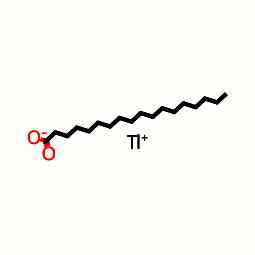 CCCCCCCCCCCCCCCCCC(=O)[O-].[Tl+]